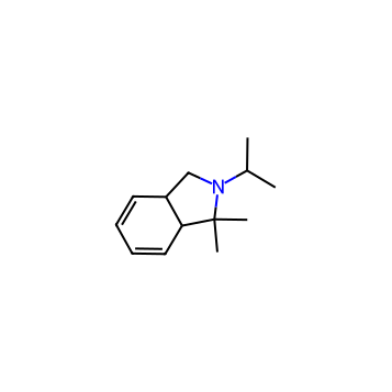 CC(C)N1CC2C=CC=CC2C1(C)C